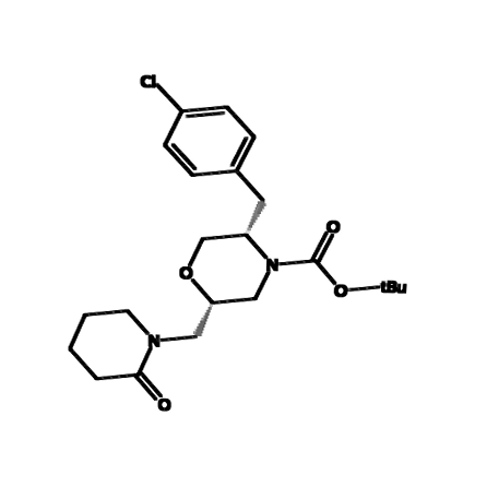 CC(C)(C)OC(=O)N1C[C@H](CN2CCCCC2=O)OC[C@@H]1Cc1ccc(Cl)cc1